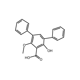 COc1c(-c2ccccc2)cc(-c2ccccc2)c(O)c1C(=O)O